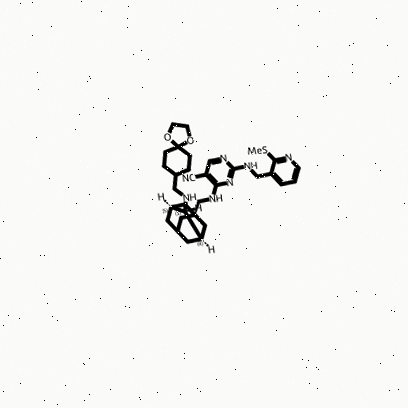 CSc1ncccc1CNc1ncc(C#N)c(NC[C@]23CC4C[C@H](C2)[C@@H](NCC2CCC5(CC2)OCCO5)[C@@H](C4)C3)n1